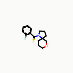 Fc1ccccc1C(=S)N1CCCC12CCCOC2